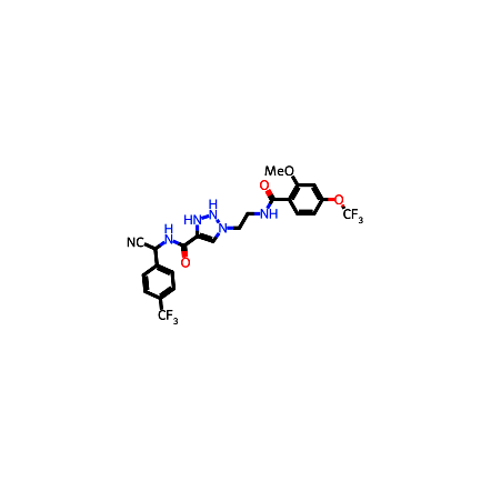 COc1cc(OC(F)(F)F)ccc1C(=O)NCCN1C=C(C(=O)NC(C#N)c2ccc(C(F)(F)F)cc2)NN1